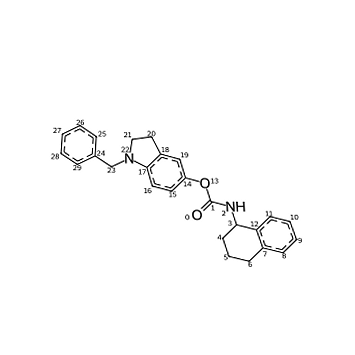 O=C(NC1CCCc2ccccc21)Oc1ccc2c(c1)CCN2Cc1ccccc1